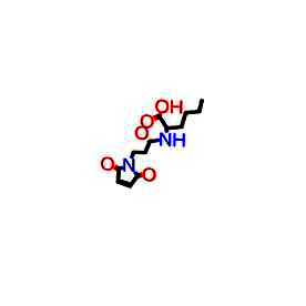 CCCCC(NC(=O)CCN1C(=O)C=CC1=O)C(=O)O